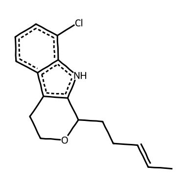 C/C=C/CCC1OCCc2c1[nH]c1c(Cl)cccc21